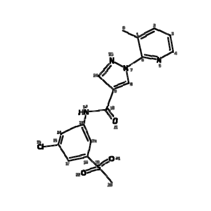 Cc1cccnc1-n1cc(C(=O)Nc2cc(Cl)cc(S(C)(=O)=O)c2)cn1